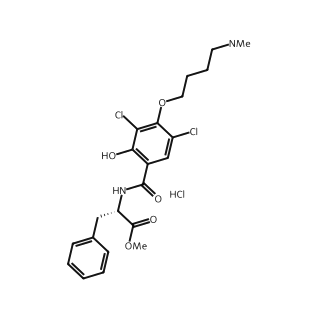 CNCCCCOc1c(Cl)cc(C(=O)N[C@@H](Cc2ccccc2)C(=O)OC)c(O)c1Cl.Cl